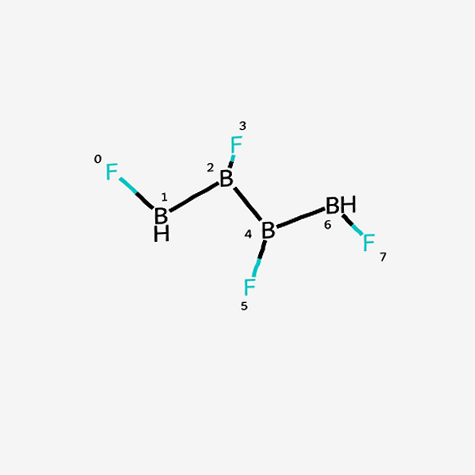 FBB(F)B(F)BF